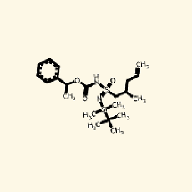 C=CCC(C)CS(=O)(=N[Si](C)(C)C(C)(C)C)NC(=O)OC(C)c1ccccc1